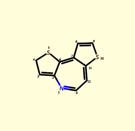 C1=NC2=CCSC2=c2ccsc2=C1